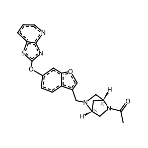 CC(=O)N1C[C@H]2C[C@@H]1CN2Cc1coc2cc(Oc3nc4ncccc4s3)ccc12